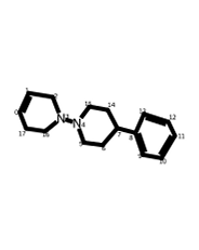 C1=CCN(N2CCC(c3ccccc3)CC2)CC1